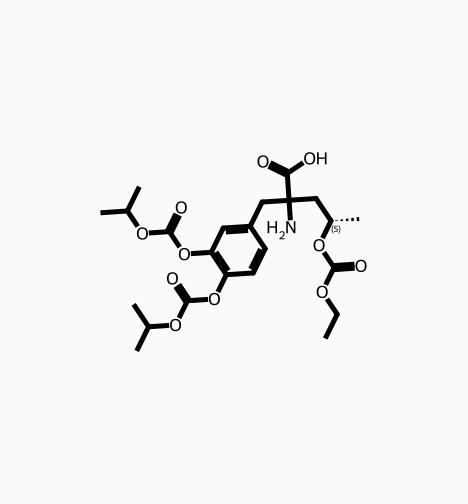 CCOC(=O)O[C@@H](C)CC(N)(Cc1ccc(OC(=O)OC(C)C)c(OC(=O)OC(C)C)c1)C(=O)O